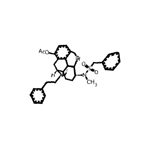 CC(=O)Oc1ccc2c3c1C[C@@H]1[C@@H]4CC[C@H](N(C)S(=O)(=O)Cc5ccccc5)[C@H](O2)[C@]34CCN1CCc1ccccc1